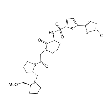 COC[C@@H]1CCCN1C[C@@H]1CCCN1C(=O)CN1CCC[C@H](NS(=O)(=O)c2ccc(-c3ccc(Cl)s3)s2)C1=O